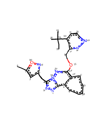 Cc1cc(-c2nnc3c4ccccc4c(OCc4nnccc4C(C)(C)C)nn23)no1